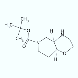 CC(C)(C)OC(=O)N1CC[C@@H]2OCCN[C@@H]2C1